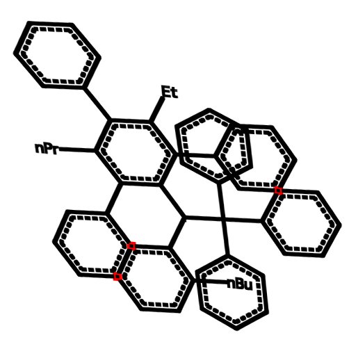 CCCCc1ccccc1[C](c1c(-c2ccccc2)c(CC)c(-c2ccccc2)c(CCC)c1-c1ccccc1)C(c1ccccc1)(c1ccccc1)c1ccccc1